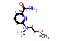 COCCN(C)c1cccc(C(N)=O)n1